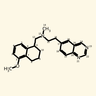 COc1cccc2c1CCCC2CN(C)CCc1ccc2ncncc2c1